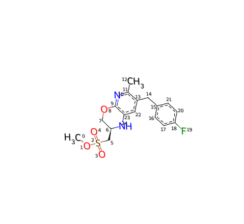 COS(=O)(=O)C[C@H]1COc2nc(C)c(Cc3ccc(F)cc3)cc2N1